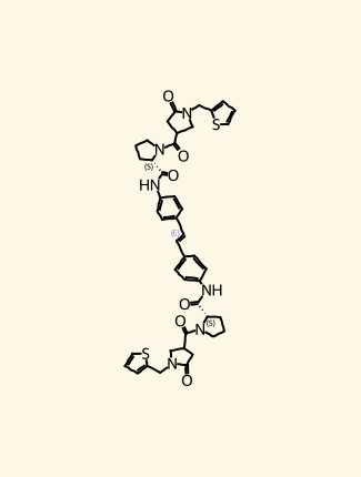 O=C(Nc1ccc(/C=C/c2ccc(NC(=O)[C@@H]3CCCN3C(=O)C3CC(=O)N(Cc4cccs4)C3)cc2)cc1)[C@@H]1CCCN1C(=O)C1CC(=O)N(Cc2cccs2)C1